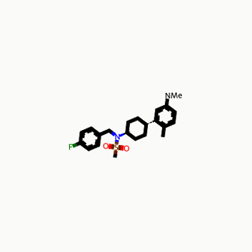 CNc1ccc(C)c([C@H]2CC[C@H](N(Cc3ccc(F)cc3)S(C)(=O)=O)CC2)c1